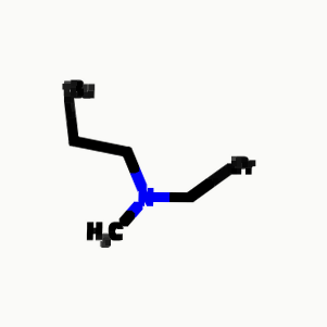 CC(C)CN(C)CCC(C)(C)C